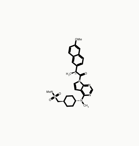 CNS(=O)(=O)C[C@H]1CC[C@H](N(C)c2ncnc3c2ccn3C(=O)[C@@H](C)c2ccc3cc(OC)ccc3c2)CC1